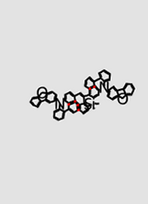 C[Si]1(C)c2cc(N(c3ccc4oc5ccccc5c4c3)c3ccccc3-c3ccccc3)ccc2-c2cc3ccc(N(c4ccc5oc6ccccc6c5c4)c4ccccc4-c4ccccc4)cc3c3cccc1c23